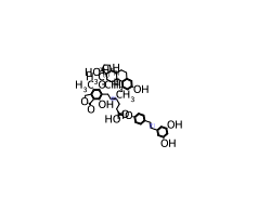 COc1c(C)c2c(c(O)c1C/C=C(\C)CCC(=O)O)C(=O)OC2.C[C@]12CC[C@@H]3c4ccc(O)cc4CC[C@H]3[C@@H]1CC[C@@H]2O.Oc1ccc(/C=C/c2cc(O)cc(O)c2)cc1